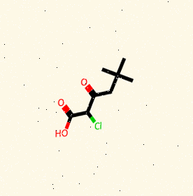 CC(C)(C)CC(=O)C(Cl)C(=O)O